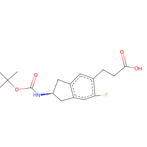 CC(C)(C)OC(=O)N[C@@H]1Cc2cc(F)c(CCC(=O)O)cc2C1